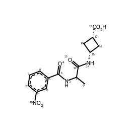 CC(NC(=O)c1cccc([N+](=O)[O-])c1)C(=O)N[C@H]1C[C@@H](C(=O)O)C1